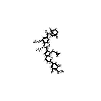 COc1cc(C(=O)N2C[C@H]3CC[C@@H]2[C@@H]3N)cc2nc(-c3cc4ccc(-c5cc(F)c(CO)c(F)c5)nc4n3CC3CC3)n(C)c12